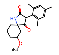 CCCCOC1CCCC2(C1)NC(=O)C(c1c(C)cc(C)cc1C)C2=O